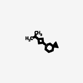 CC(C)C1CC(N2CCCC3(CC3)C2)C1